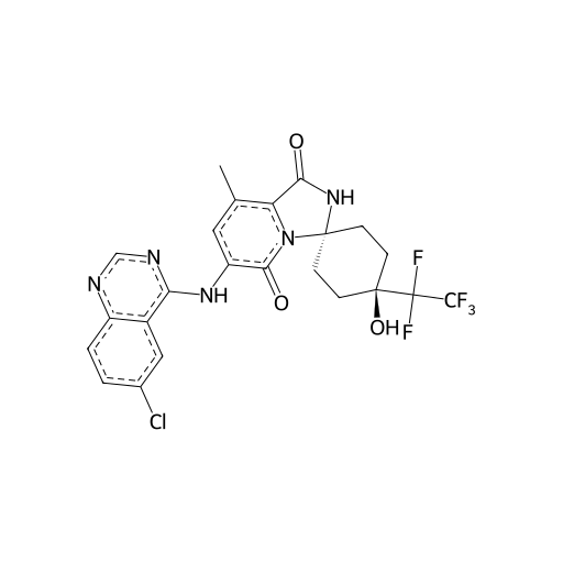 Cc1cc(Nc2ncnc3ccc(Cl)cc23)c(=O)n2c1C(=O)N[C@]21CC[C@@](O)(C(F)(F)C(F)(F)F)CC1